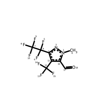 Cn1nc(C(F)(F)C(F)(F)F)c(C(F)(F)F)c1C=O